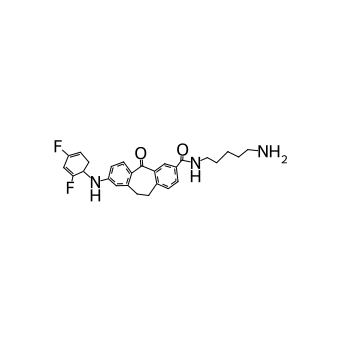 NCCCCCNC(=O)c1ccc2c(c1)C(=O)c1ccc(NC3CC=C(F)C=C3F)cc1CC2